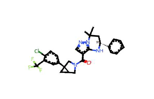 CC1(C)C[C@H](c2ccccc2)Nc2c(C(=O)N3CC4CC4(c4ccc(Cl)c(C(F)(F)F)c4)C3)cnn21